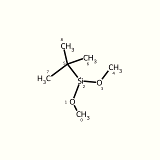 CO[Si](OC)C(C)(C)C